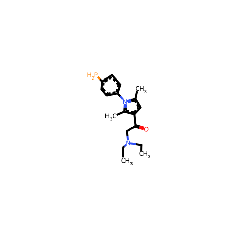 CCN(CC)CC(=O)c1cc(C)n(-c2ccc(P)cc2)c1C